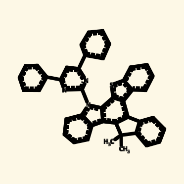 CC1(C)c2ccccc2-c2c1c1c3ccccc3n(-c3nc(-c4ccccc4)cc(-c4ccccc4)n3)c1c1sc3ccccc3c21